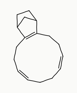 C1=CCCC2=C(CCC=CCC1)C1CCC2C1